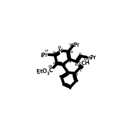 C#Cc1ccccc1-c1c(/C=C/CCC)c(C(C)C)nc(C(C)C)c1C(=O)OCC